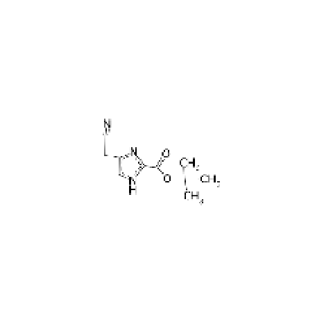 CC(C)(C)OC(=O)c1nc(CC#N)c[nH]1